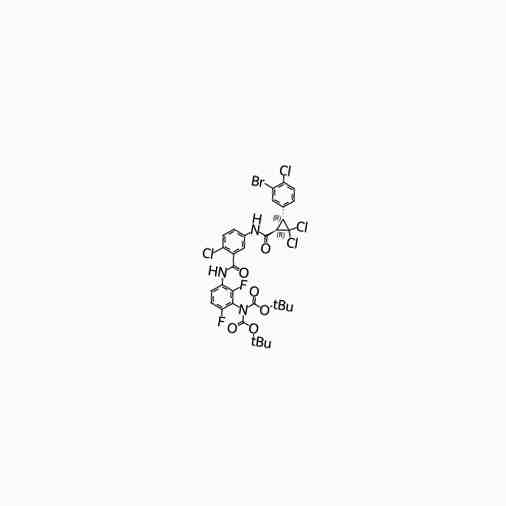 CC(C)(C)OC(=O)N(C(=O)OC(C)(C)C)c1c(F)ccc(NC(=O)c2cc(NC(=O)[C@H]3[C@H](c4ccc(Cl)c(Br)c4)C3(Cl)Cl)ccc2Cl)c1F